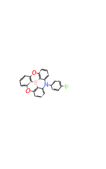 Fc1ccc(N2c3cccc4c3B3c5c(cccc5Oc5cccc2c53)O4)cc1